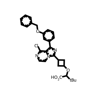 CC(C)(C)C(OC1CC(c2nc(-c3cccc(OCc4ccccc4)c3)c3c(Cl)nccn23)C1)C(=O)O